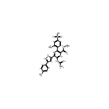 CC(C)S(=O)(=O)c1ccc(-c2nc(-c3cc(-c4ccc(C#N)cc4)no3)c(OC(N)=O)nc2C(=O)OC(C)(C)C)c(C(C)(C)C)c1